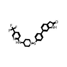 O=C1Cc2ccc(-c3ccc(SN4CCC(Nc5ccc(C(F)(F)F)cn5)CC4)cc3)cc2N1